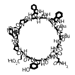 CCCC[C@H]1C(=O)N(C)[C@@H](CCCC)C(=O)N[C@@H](C)C(=O)N[C@H](C(=O)NCC(N)=O)CSCC(=O)N[C@@H](Cc2ccc(O)cc2)C(=O)N(C)[C@@H](C)C(=O)N[C@@H](CCC(=O)O)C(=O)N2CCC[C@H]2C(=O)N[C@@H](Cc2cnc[nH]2)C(=O)N[C@@H](CC(C)C)C(=O)N2CCC[C@H]2C(=O)N[C@@H](Cc2c[nH]c3ccccc23)C(=O)N[C@@H](CO)C(=O)N[C@@H](Cc2c[nH]c3ccccc23)C(=O)N1C